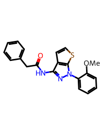 COc1ccccc1-n1nc(NC(=O)Cc2ccccc2)c2ccsc21